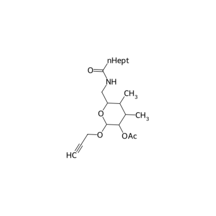 C#CCOC1OC(CNC(=O)CCCCCCC)C(C)C(C)C1OC(C)=O